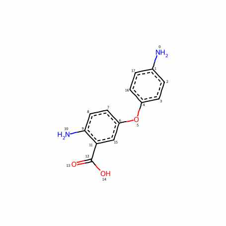 Nc1ccc(Oc2ccc(N)c(C(=O)O)c2)cc1